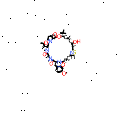 CC[C@H](C)[C@H]1C(=O)N2CCC[C@H]2C(=O)O[C@H](C(C)(C)C)C[C@@H](C)C[C@H](O)[C@H](C)C2=N[C@@H](CCC(=O)N[C@@H](Cc3ccc(OC)cc3)C(=O)N(C)[C@@H](C)C(=O)N1C)CS2